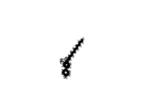 CCCCCCCCCCCCOc1ccc([C@H]2CC[C@H](C)CC2)cc1F